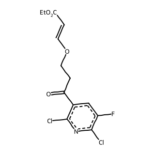 CCOC(=O)C=COCCC(=O)c1cc(F)c(Cl)nc1Cl